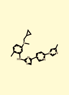 Cc1cn(-c2ccc(-c3csc(Nc4cc(N(C)CC5CC5)ccc4C)n3)cn2)cn1